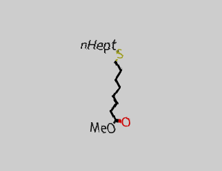 CCCCCCCSCCCCCCCC(=O)OC